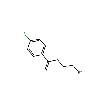 C=C(CCCC(C)C)c1ccc(F)cc1